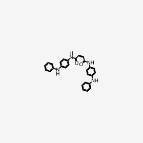 O=C(/C=C\C(=O)Nc1ccc(Nc2ccccc2)cc1)Nc1ccc(Nc2ccccc2)cc1